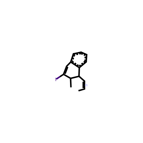 C/C=C\C1c2ccccc2C=C(I)C1C